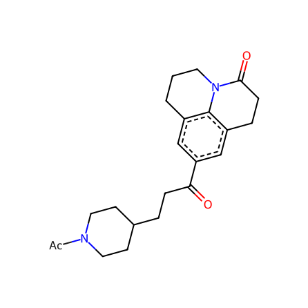 CC(=O)N1CCC(CCC(=O)c2cc3c4c(c2)CCC(=O)N4CCC3)CC1